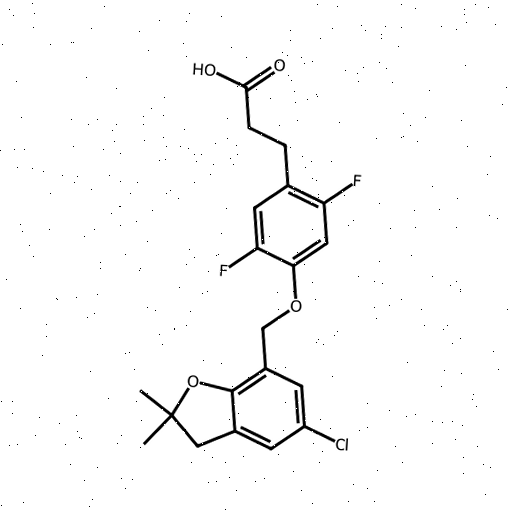 CC1(C)Cc2cc(Cl)cc(COc3cc(F)c(CCC(=O)O)cc3F)c2O1